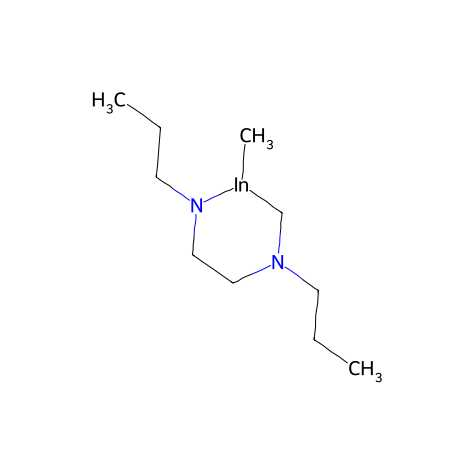 CCCN1CC[N](CCC)[In]([CH3])[CH2]1